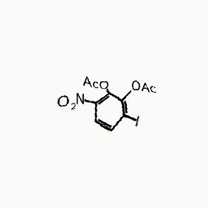 CC(=O)Oc1c(I)ccc([N+](=O)[O-])c1OC(C)=O